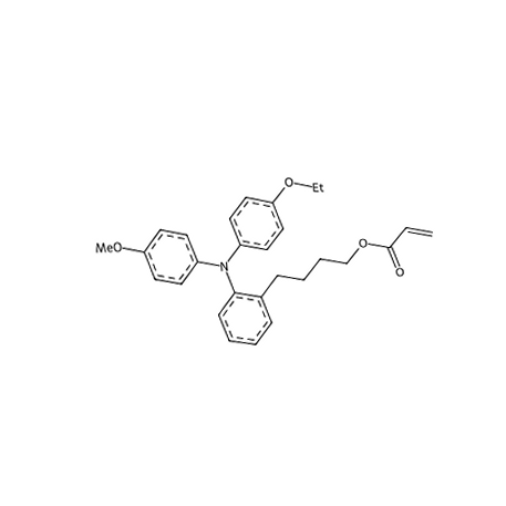 C=CC(=O)OCCCCc1ccccc1N(c1ccc(OC)cc1)c1ccc(OCC)cc1